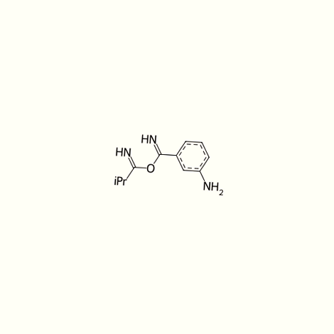 CC(C)C(=N)OC(=N)c1cccc(N)c1